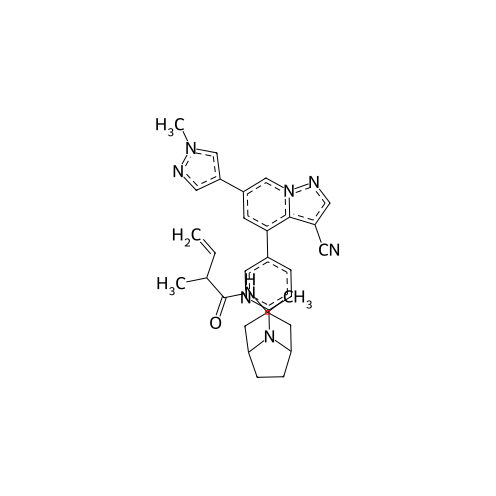 C=CC(C)C(=O)NC1(C)CC2CCC(C1)N2c1ccc(-c2cc(-c3cnn(C)c3)cn3ncc(C#N)c23)cn1